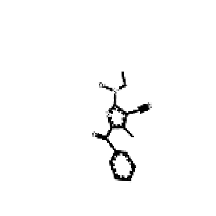 CC[S+]([O-])c1sc(C(=O)c2ccccc2)c(C)c1C#N